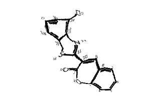 O=c1oc2c[c]ccc2cc1-c1nc2c(Cl)cccc2s1